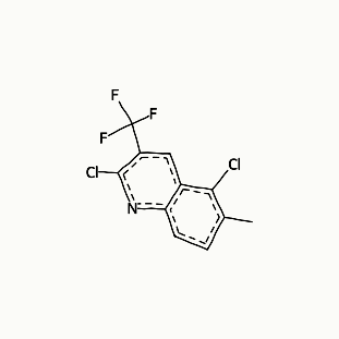 Cc1ccc2nc(Cl)c(C(F)(F)F)cc2c1Cl